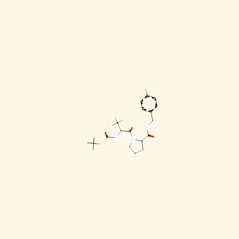 CC(C)(C)OC(=O)NC(C(=O)N1CCCC1C(=O)NCc1ccc(Cl)cc1)C(C)(C)C